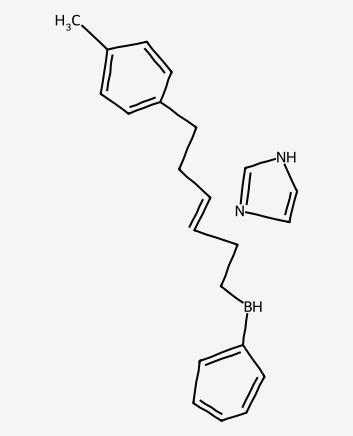 Cc1ccc(CCC=CCCBc2ccccc2)cc1.c1c[nH]cn1